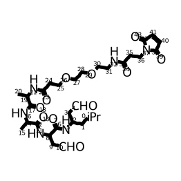 CC(C)CC(CC=O)NC(=O)C(CC=O)NC(=O)C(C)NC(=O)C(C)NC(=O)CCOCCOCCNC(=O)CCN1C(=O)C=CC1=O